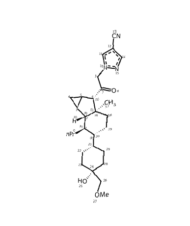 CCC[C@H]1[C@@H]2C3CC3[C@H](C(=O)Cn3cc(C#N)cn3)[C@@]2(C)CC[C@@H]1[C@H]1CC[C@](O)(COC)CC1